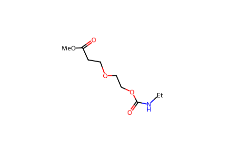 CCNC(=O)OCCOCCC(=O)OC